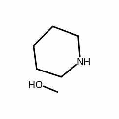 C1CCNCC1.CO